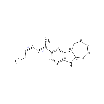 CC/C=C\C=C(/C)c1ccc2c(c1)C1CCCCCC1N2